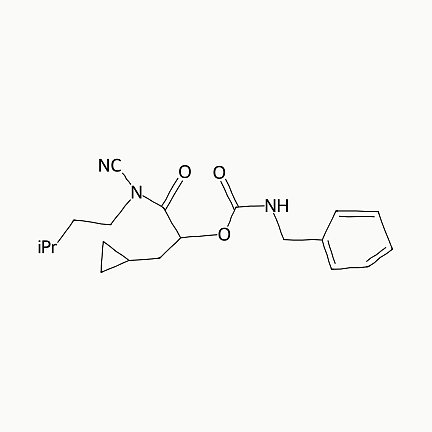 CC(C)CCN(C#N)C(=O)C(CC1CC1)OC(=O)NCc1ccccc1